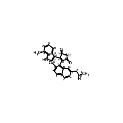 CNCc1ccc2ccc(Cl)c(C3=C(c4c[nH]c5c(C)cccc45)C(=O)NC3=O)c2c1